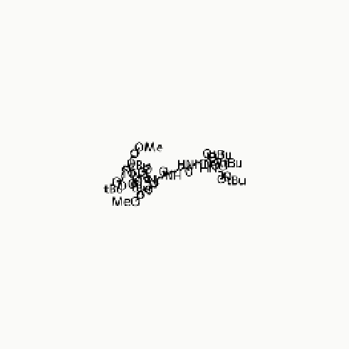 COc1ccc(COc2ccc(CCC(=O)NCCCCCC(=O)NCCCC[C@H](NC(=O)N[C@@H](CCC(=O)OC(C)(C)C)C(=O)OC(C)(C)C)C(=O)OC(C)(C)C)nc2CN(CCN(CC(=O)OC(C)(C)C)Cc2nc(CCC(=O)OC(C)(C)C)ccc2OCc2ccc(OC)cc2)CC(=O)OC(C)(C)C)cc1